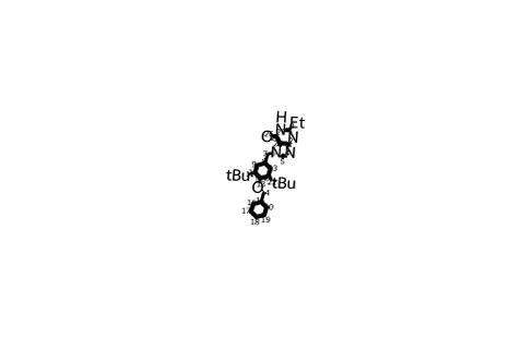 CCc1nc2ncn(Cc3cc(C(C)(C)C)c(OCc4ccccc4)c(C(C)(C)C)c3)c2c(=O)[nH]1